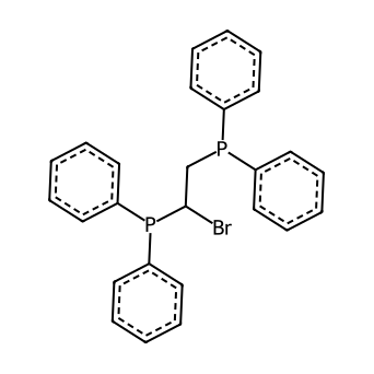 BrC(CP(c1ccccc1)c1ccccc1)P(c1ccccc1)c1ccccc1